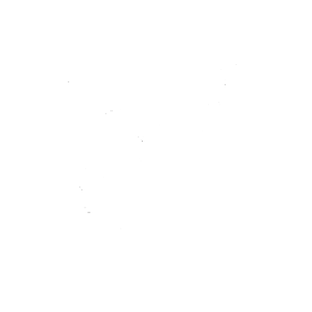 c1cc(-c2cccc3oc4c5ccccc5ccc4c23)cc(N(c2ccc(-c3ccc4oc5ccccc5c4c3)cc2)c2ccc(-c3cccc4ccccc34)cc2)c1